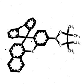 CC1(C)OB(c2ccc3c(c2)Sc2c(ccc4ccccc24)C32c3ccccc3-c3ccccc32)OC1(C)C